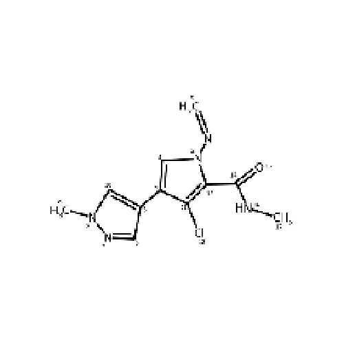 C=Nn1cc(-c2cnn(C)c2)c(Cl)c1C(=O)NC